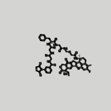 CC[C@@]1(O)C(=O)OCc2c1cc1n(c2=O)Cc2c-1nc1cc(F)c(C)c3c1c2[C@@](C)(NC(=O)COCNC(=O)CNC(=O)[C@H](Cc1ccccc1)NC(=O)CNC(=O)CNC(=O)c1cccc(N2C(=O)C=CC2=O)c1)CC3